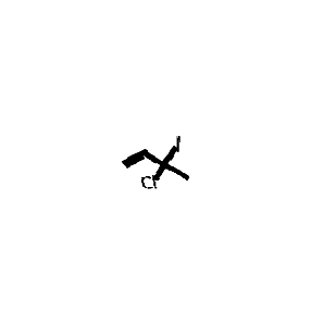 C=CC(C)(Cl)I